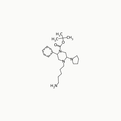 CC(C)(C)OC(=O)N1CC(N2CCCC2)N(CCCCCN)CC1c1ccccc1